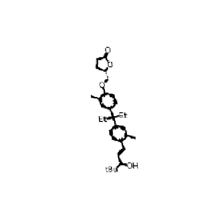 CCC(CC)(c1ccc(/C=C/C(O)C(C)(C)C)c(C)c1)c1ccc(OC[C@@H]2CCC(=O)O2)c(C)c1